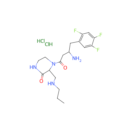 CCCNCC1C(=O)NCCN1C(=O)CC(N)Cc1cc(F)c(F)cc1F.Cl.Cl